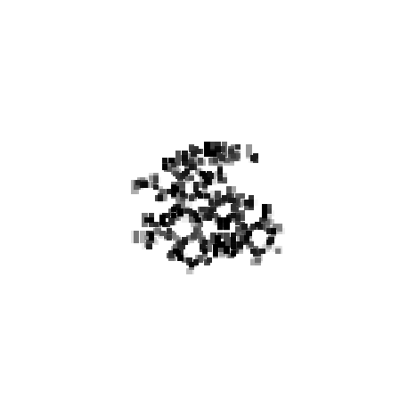 Cc1ccnc(C(C)C)c1-n1c(=O)c2c(c3cc(F)c(-c4c(O)cccc4F)nc31)N1C[C@@H](C)NC[C@@H]1C(=O)N2CCF